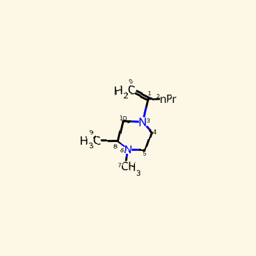 C=C(CCC)N1CCN(C)C(C)C1